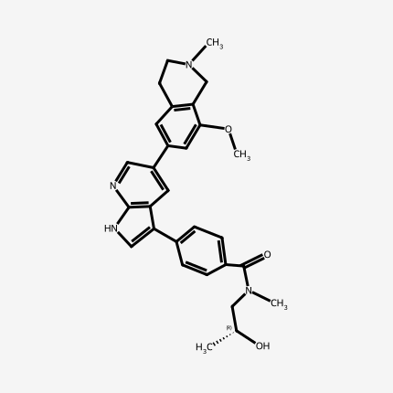 COc1cc(-c2cnc3[nH]cc(-c4ccc(C(=O)N(C)C[C@@H](C)O)cc4)c3c2)cc2c1CN(C)CC2